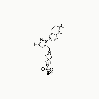 CC(C)S(=O)(=O)N1CC2(CN(Cc3c[nH]nc3-c3ccc4c(c3)CCC(=O)N4C)C2)C1